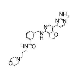 Nc1nccc(-c2cnc(NCc3cccc(C(=O)NCCCN4CCOCC4)c3)c3c2OCC3)n1